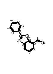 O=Cc1cccc2nc(-c3ccccc3)oc12